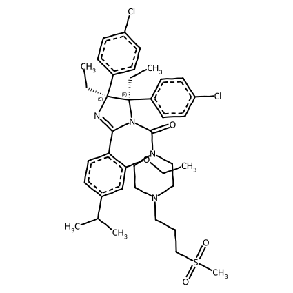 CCOc1cc(C(C)C)ccc1C1=N[C@@](CC)(c2ccc(Cl)cc2)[C@@](CC)(c2ccc(Cl)cc2)N1C(=O)N1CCN(CCCS(C)(=O)=O)CC1